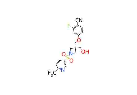 N#Cc1ccc(OCC2(CO)CN(S(=O)(=O)c3ccc(C(F)(F)F)nc3)C2)cc1F